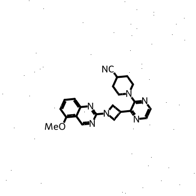 COc1cccc2nc(N3CC(c4nccnc4N4CCC(C#N)CC4)C3)ncc12